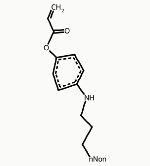 C=CC(=O)Oc1ccc(NCCCCCCCCCCCC)cc1